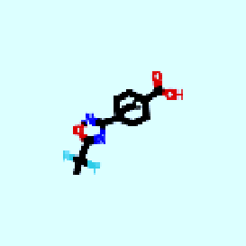 CC(F)(F)c1nc(C23CCC(C(=O)O)(CC2)CC3)no1